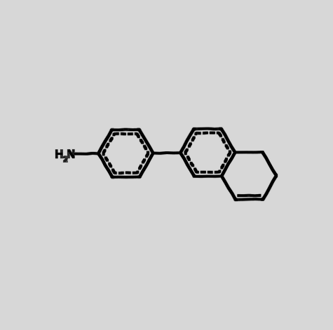 Nc1ccc(-c2ccc3c(c2)C=CCC3)cc1